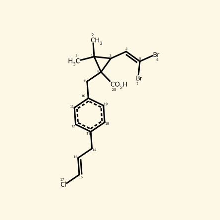 CC1(C)C(C=C(Br)Br)C1(Cc1ccc(CC=CCl)cc1)C(=O)O